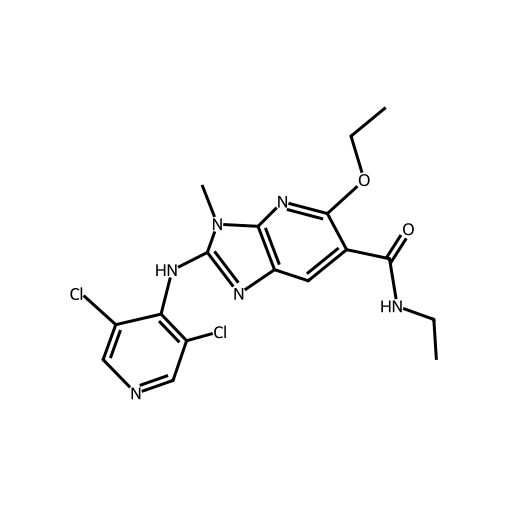 CCNC(=O)c1cc2nc(Nc3c(Cl)cncc3Cl)n(C)c2nc1OCC